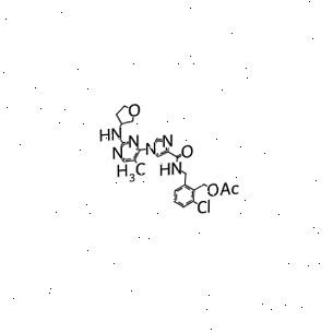 CC(=O)OCc1c(Cl)cccc1CNC(=O)c1cn(-c2nc(NC3CCOC3)ncc2C)cn1